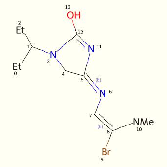 CCC(CC)N1C/C(=N\C=C(\Br)NC)N=C1O